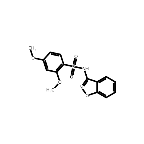 COc1ccc(S(=O)(=O)Nc2noc3ccccc23)c(OC)c1